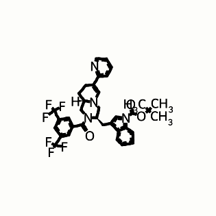 CC(C)(C)OC(=O)n1cc(C[C@@H]2CN3C=C(c4ccccn4)CC[C@@H]3CN2C(=O)c2cc(C(F)(F)F)cc(C(F)(F)F)c2)c2ccccc21